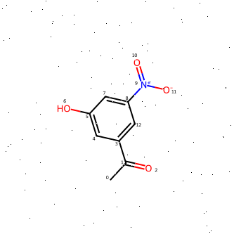 CC(=O)c1cc(O)cc([N+](=O)[O-])c1